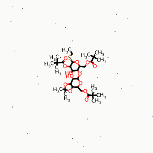 CCSC1OC(COC(=O)C(C)(C)C)C(OC2OC(COC(=O)C(C)(C)C)C3OC(C)(C)OC3C2O)C(O)C1OC(=O)C(C)(C)C